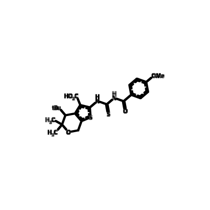 COc1ccc(C(=O)NC(=S)Nc2sc3c(c2C(=O)O)C(C(C)(C)C)C(C)(C)OC3)cc1